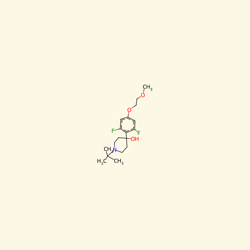 COCCOc1cc(F)c(C2(O)CCN(C(C)(C)C)CC2)c(F)c1